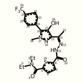 CCN(CC)C(=O)c1ccc(C(=O)N/N=C(/C)c2nn(C)c(-c3ccc(C(F)(F)F)cc3)c2O)s1